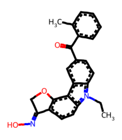 CCn1c2ccc(C(=O)c3ccccc3C)cc2c2c3c(ccc21)/C(=N/O)CO3